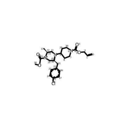 C=CCOC(=O)N1CCC(N2C[C@H](C)N(C(=O)OC)C[C@@H]2Cc2ccc(Cl)cc2)CC1